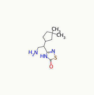 CC1(C)CCC(C(CN)c2nsc(=O)[nH]2)C1